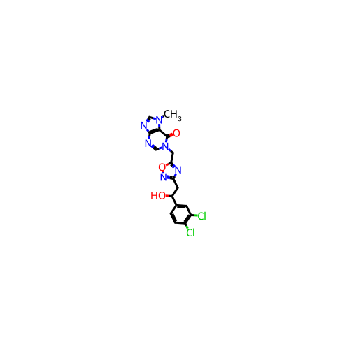 Cn1cnc2ncn(Cc3nc(CC(O)c4ccc(Cl)c(Cl)c4)no3)c(=O)c21